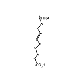 CCCCCCCCC/C=C/CCCCC(=O)O